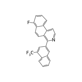 Fc1cccc2c1ccc1c(-c3cc(C(F)(F)F)c4ccccc4c3)nccc12